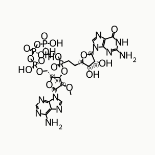 CO[C@@H]1[C@H](OP(=O)(O)CC[C@H]2O[C@@H](n3cnc4c(=O)[nH]c(N)nc43)[C@H](O)[C@@H]2O)[C@@H](COP(=O)(O)OP(=O)(O)OP(=O)(O)O)O[C@H]1n1cnc2c(N)ncnc21